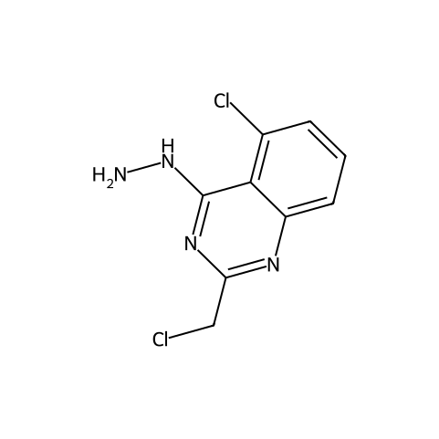 NNc1nc(CCl)nc2cccc(Cl)c12